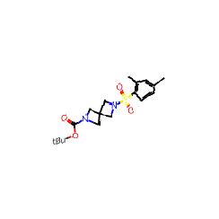 Cc1ccc(S(=O)(=O)N2CC3(CN(C(=O)OC(C)(C)C)C3)C2)c(C)c1